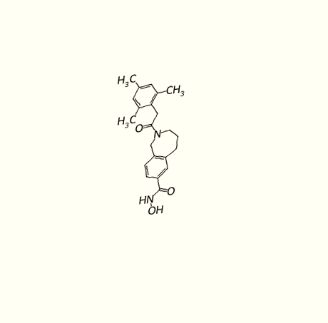 Cc1cc(C)c(CC(=O)N2CCCc3cc(C(=O)NO)ccc3C2)c(C)c1